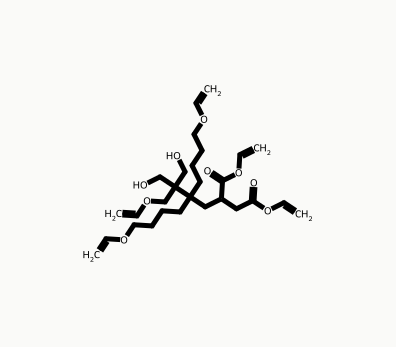 C=COCCCCC(CCCCOC=C)(CC(CC(=O)OC=C)C(=O)OC=C)C(CO)(CO)COC=C